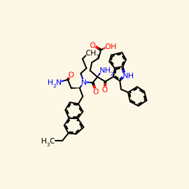 CCCCN(C(=O)[C@](N)(CCCC(=O)O)C(=O)c1c(Cc2ccccc2)[nH]c2ccccc12)[C@H](CC(N)=O)Cc1ccc2cc(CC)ccc2c1